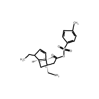 CCC1C=C[C@@H]2[C@H]1C[C@]2(CN)CC(=O)OS(=O)(=O)c1ccc(C)cc1